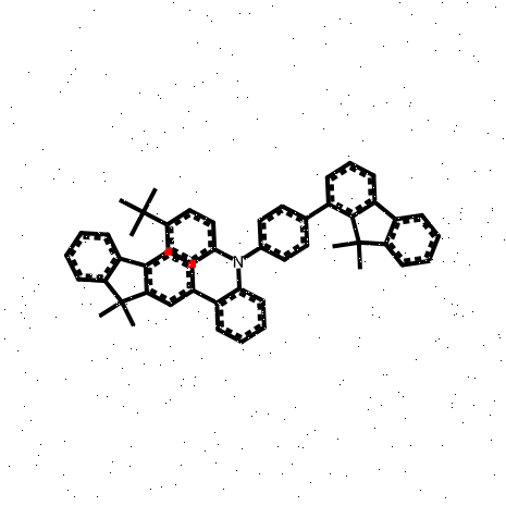 CC(C)(C)c1ccc(N(c2ccc(-c3cccc4c3C(C)(C)c3ccccc3-4)cc2)c2ccccc2-c2ccc3c(c2)C(C)(C)c2ccccc2-3)cc1